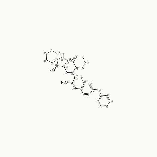 NC1=Nc2cnc(Oc3ccccc3)cc2CN1[C@@H](CN1C(=O)NC2(CCCCC2)C1=O)C1CCCCC1